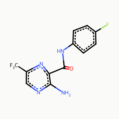 Nc1ncc(C(F)(F)F)nc1C(=O)Nc1ccc(F)cc1